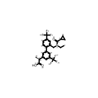 CCN(Cc1cc(C(F)(F)F)ccc1-c1cc([C@H](C)C(=O)O)cc(C(F)(F)F)c1)C(=O)C1CC1